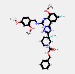 COc1ccc(CNc2nc3c(OC)cc(F)cc3c3nc([C@@]4(F)CCCN(C(=O)OCc5ccccc5)C4)nn23)c(OC)c1